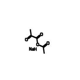 CC(=O)OC(=O)C(C)=O.[NaH]